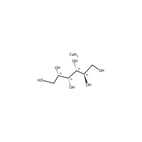 OC[C@@H](O)[C@@H](O)[C@H](O)[C@@H](O)CO.[CaH2]